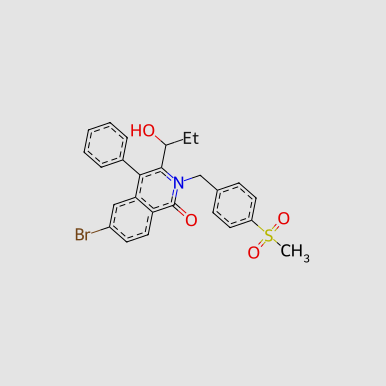 CCC(O)c1c(-c2ccccc2)c2cc(Br)ccc2c(=O)n1Cc1ccc(S(C)(=O)=O)cc1